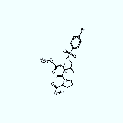 COC(=O)C1CCCN1C(=O)[C@@H](NC(=O)OC(C)(C)C)C(C)COS(=O)(=O)c1ccc(Br)cc1